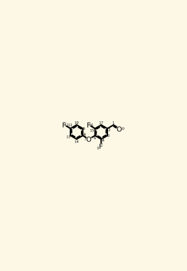 O=Cc1cc(F)c(Oc2ccc(F)cc2)c(F)c1